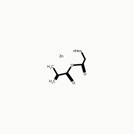 C=C(C)C(=O)OC(=O)CCCCCCC.[Zn]